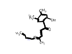 C=C/C=C\N=C(C)C=CC(=O)c1cc(C)c(C)cc1O